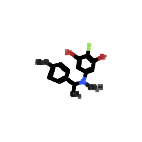 COc1ccc(C(C)N(C(=O)O)c2cc(Br)c(F)c(Br)c2)cc1